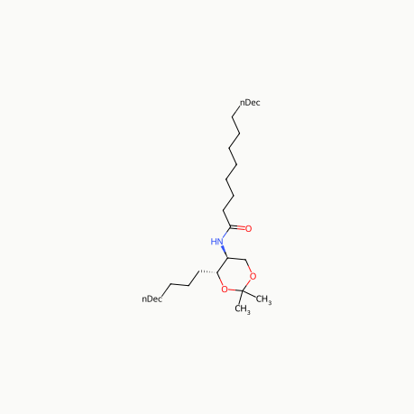 CCCCCCCCCCCCCCCCCC(=O)N[C@H]1COC(C)(C)O[C@@H]1CCCCCCCCCCCCC